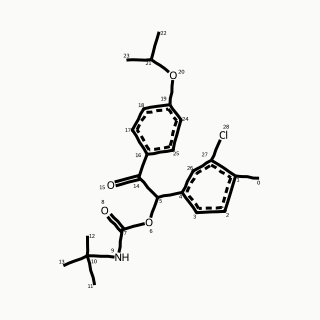 Cc1ccc(C(OC(=O)NC(C)(C)C)C(=O)c2ccc(OC(C)C)cc2)cc1Cl